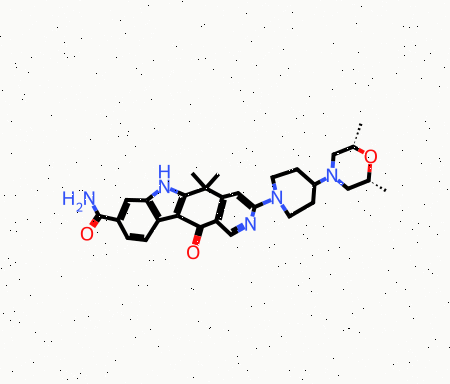 C[C@@H]1CN(C2CCN(c3cc4c(cn3)C(=O)c3c([nH]c5cc(C(N)=O)ccc35)C4(C)C)CC2)C[C@H](C)O1